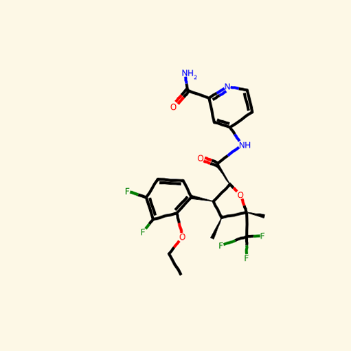 CCOc1c([C@H]2[C@@H](C(=O)Nc3ccnc(C(N)=O)c3)O[C@](C)(C(F)(F)F)[C@H]2C)ccc(F)c1F